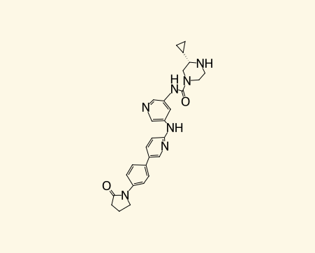 O=C(Nc1cncc(Nc2ccc(-c3ccc(N4CCCC4=O)cc3)cn2)c1)N1CCN[C@@H](C2CC2)C1